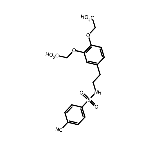 N#Cc1ccc(S(=O)(=O)NCCc2ccc(OCC(=O)O)c(OCC(=O)O)c2)cc1